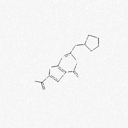 O=C(O)c1cc2c(=O)[nH]c(CC3CCCC3)nc2s1